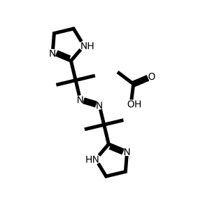 CC(=O)O.CC(C)(N=NC(C)(C)C1=NCCN1)C1=NCCN1